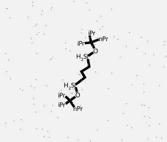 CCCC(O[SiH2]CCC[SiH2]OC(CCC)(C(C)C)C(C)C)(C(C)C)C(C)C